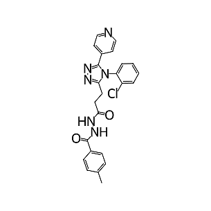 Cc1ccc(C(=O)NNC(=O)CCc2nnc(-c3ccncc3)n2-c2ccccc2Cl)cc1